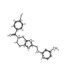 Cc1ccnc(OCc2nc3c(o2)CN(C(=O)c2ccc(F)cc2)CC3)c1